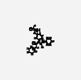 CC(=O)NCc1ccc2c(c1)c(C(=O)CN1CCCCC1)c(C)n2-c1ccccc1